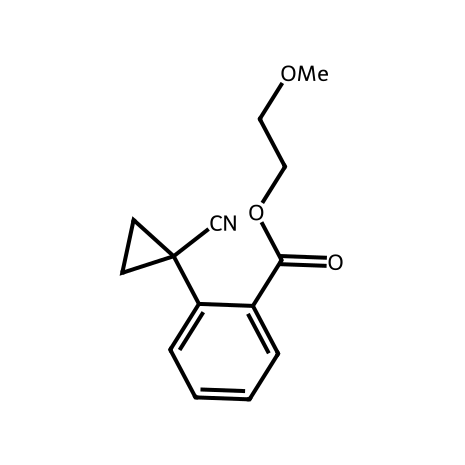 COCCOC(=O)c1ccccc1C1(C#N)CC1